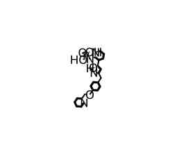 O=P(O)(O)Nc1ncccc1-c1cc(Cc2ccc(OCc3ccccn3)cc2)no1